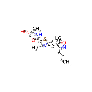 CCCCc1noc(C)c1CCc1nc(C)c(C(=O)NC(C)CO)s1